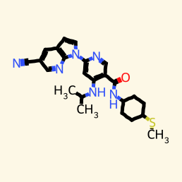 CSC1CCC(NC(=O)c2cnc(-n3ccc4cc(C#N)cnc43)cc2NC(C)C)CC1